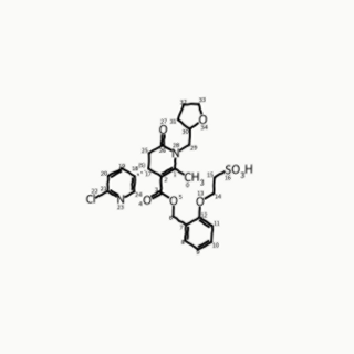 CC1=C(C(=O)OCc2ccccc2OCCS(=O)(=O)O)[C@H](c2ccc(Cl)nc2)CC(=O)N1CC1CCCO1